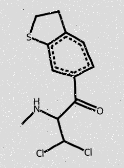 CNC(C(=O)c1ccc2c(c1)SCC2)C(Cl)Cl